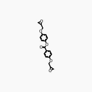 O=C(Oc1ccc(OCC2CO2)cc1)c1ccc(OCC2CO2)cc1